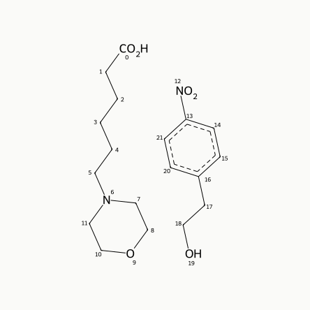 O=C(O)CCCCCN1CCOCC1.O=[N+]([O-])c1ccc(CCO)cc1